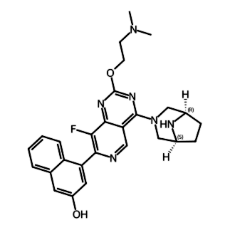 CN(C)CCOc1nc(N2C[C@H]3CC[C@@H](C2)N3)c2cnc(-c3cc(O)cc4ccccc34)c(F)c2n1